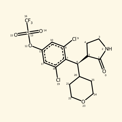 O=C1NCCC1[C@H](c1c(Cl)cc(OS(=O)(=O)C(F)(F)F)cc1Cl)C1CCOCC1